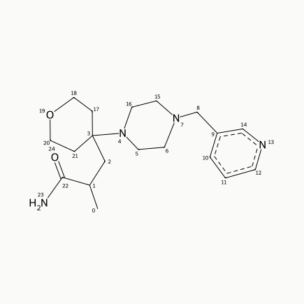 CC(CC1(N2CCN(Cc3cccnc3)CC2)CCOCC1)C(N)=O